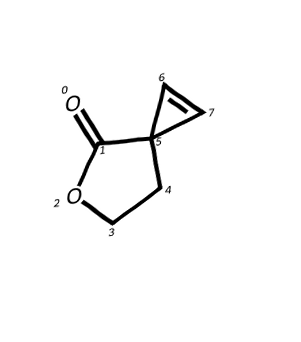 O=C1OCCC12C=C2